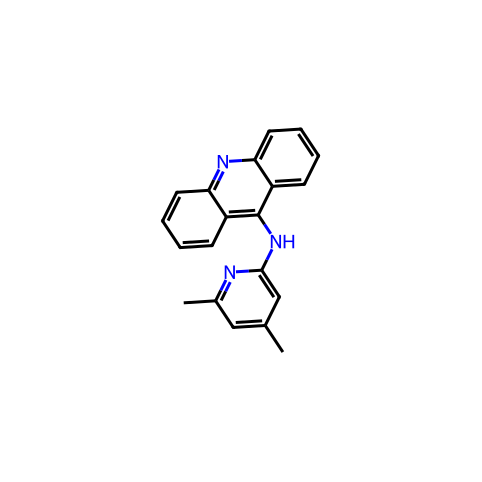 Cc1cc(C)nc(Nc2c3ccccc3nc3ccccc23)c1